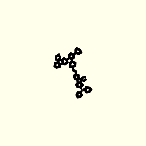 CCC1(CC)c2cc(/C=C/c3ccc(-c4cc(-c5ccccc5)ccc4C4C=CC5=C(C4)C4(CCCC4)c4ccccc45)cc3)ccc2-c2ccc(N(c3ccccc3)c3ccccc3)cc21